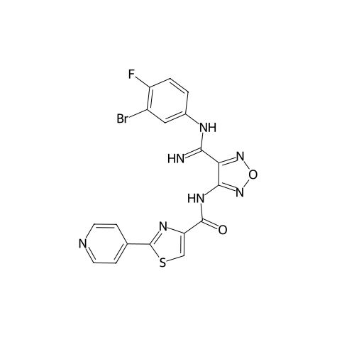 N=C(Nc1ccc(F)c(Br)c1)c1nonc1NC(=O)c1csc(-c2ccncc2)n1